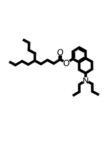 CCCCC(CCCC)CCCC(=O)Oc1cccc2c1CC(N(CCC)CCC)CC2